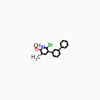 COc1nc(Br)c(-c2cccc(-c3ccccc3)c2)cc1C